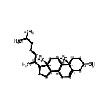 CC(C)CCCC(C)C1CCC2C3CC=C4CC(O)CC[C@@]4(C)C3CCC12C